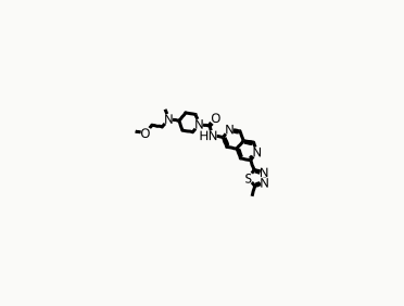 COCCN(C)C1CCN(C(=O)Nc2cc3cc(-c4nnc(C)s4)ncc3cn2)CC1